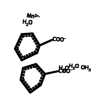 O.O.O.O.O=C([O-])c1ccccc1.O=C([O-])c1ccccc1.[Mn+2]